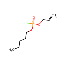 C=CCOP(=O)(Cl)OCCCCC